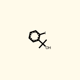 CC(C)(O)c1ccccc1I